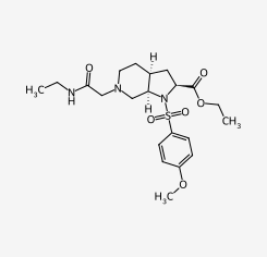 CCNC(=O)CN1CC[C@H]2C[C@@H](C(=O)OCC)N(S(=O)(=O)c3ccc(OC)cc3)[C@H]2C1